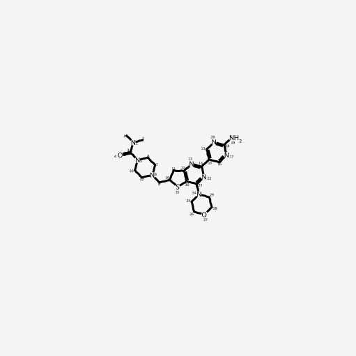 CN(C)C(=O)N1CCN(CC2Cc3nc(-c4cnc(N)nc4)nc(N4CCOCC4)c3S2)CC1